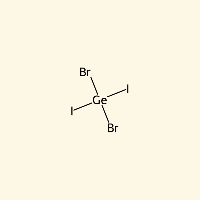 [Br][Ge]([Br])([I])[I]